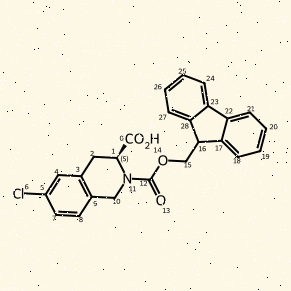 O=C(O)[C@@H]1Cc2cc(Cl)ccc2CN1C(=O)OCC1c2ccccc2-c2ccccc21